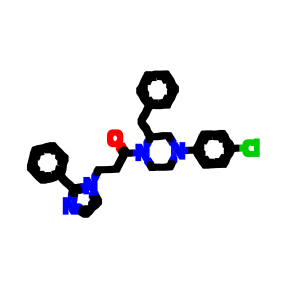 O=C(CCn1ccnc1-c1ccccc1)N1CCN(c2ccc(Cl)cc2)CC1Cc1ccccc1